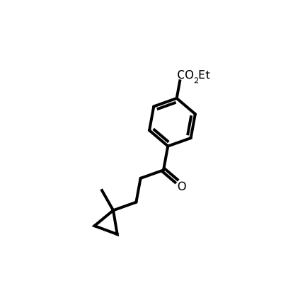 CCOC(=O)c1ccc(C(=O)CCC2(C)CC2)cc1